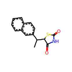 CC(c1ccc2ccccc2c1)C1SC(=O)NC1=O